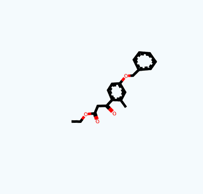 CCOC(=O)CC(=O)c1ccc(OCc2ccccc2)cc1C